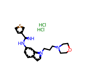 Cl.Cl.N=C(Nc1ccc2ccn(CCCN3CCOCC3)c2c1)c1ccsc1